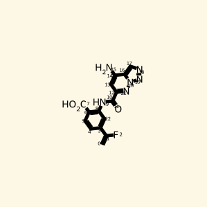 C=C(F)c1ccc(C(=O)O)c(NC(=O)c2cc(N)c3cnnn3n2)c1